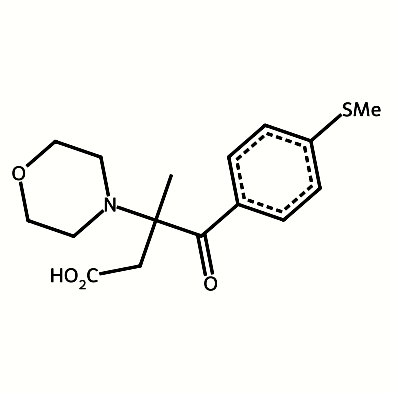 CSc1ccc(C(=O)C(C)(CC(=O)O)N2CCOCC2)cc1